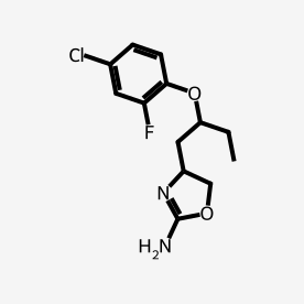 CCC(CC1COC(N)=N1)Oc1ccc(Cl)cc1F